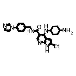 CCc1cc2c(NC3CCC(N)CC3)c(C(=O)NCc3ccc(-n4ccnc4)cc3)cnc2[nH]1